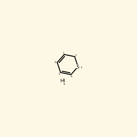 C1=CCSC=C1.I